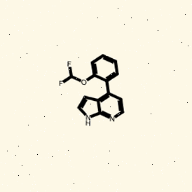 FC(F)Oc1ccccc1-c1ccnc2[nH]ccc12